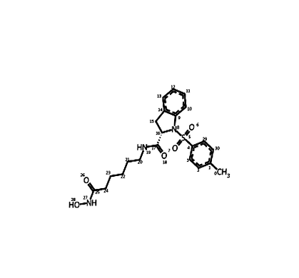 Cc1ccc(S(=O)(=O)N2c3ccccc3C[C@H]2C(=O)NCCCCCC(=O)NO)cc1